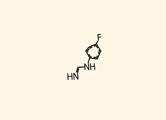 N=CNc1ccc(F)cc1